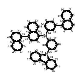 c1cc(-c2cccc3ccccc23)cc(N(c2cccc(-n3c4ccccc4c4ccccc43)c2)c2ccc(-c3cccc4ccccc34)c3ccccc23)c1